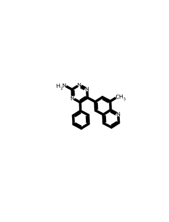 Cc1cc(-c2nnc(N)nc2-c2ccccc2)cc2cccnc12